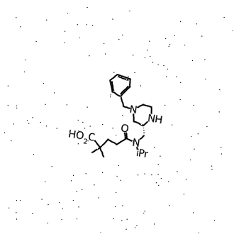 CC(C)N(C[C@@H]1CN(Cc2ccccc2)CCN1)C(=O)CCC(C)(C)C(=O)O